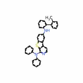 Cc1ccccc1-c1ccccc1Nc1ccc2sc3c(N(c4ccccc4)c4ccccc4)nccc3c2c1